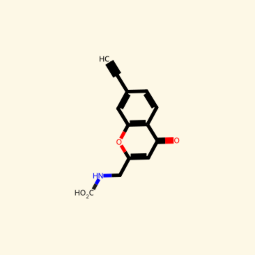 C#Cc1ccc2c(=O)cc(CNC(=O)O)oc2c1